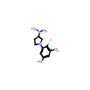 Cc1cc(N2CCC(N(C)C)C2)c(F)c(C(F)(F)F)c1